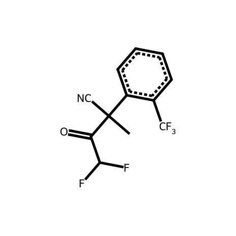 CC(C#N)(C(=O)C(F)F)c1ccccc1C(F)(F)F